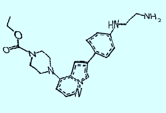 CCOC(=O)N1CCN(c2ccnn3cc(-c4ccc(NCCN)cc4)cc23)CC1